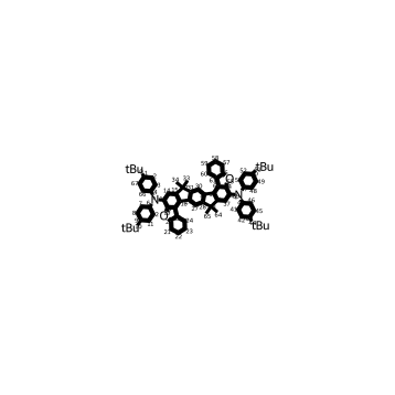 CC(C)(C)c1ccc(N(c2ccc(C(C)(C)C)cc2)c2cc3c(c4c2oc2ccccc24)-c2cc4c(cc2C3(C)C)-c2c(cc(N(c3ccc(C(C)(C)C)cc3)c3ccc(C(C)(C)C)cc3)c3oc5ccccc5c23)C4(C)C)cc1